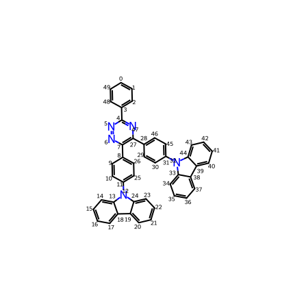 c1ccc(-c2nnc(-c3ccc(-n4c5ccccc5c5ccccc54)cc3)c(-c3ccc(-n4c5ccccc5c5ccccc54)cc3)n2)cc1